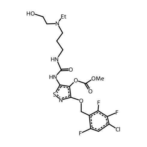 CCN(CCO)CCCNC(=O)Nc1snc(OCc2c(F)cc(Cl)c(F)c2F)c1OC(=O)OC